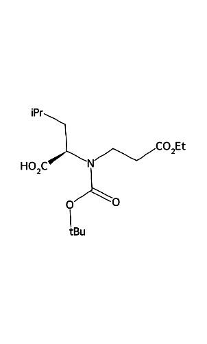 CCOC(=O)CCN(C(=O)OC(C)(C)C)[C@H](CC(C)C)C(=O)O